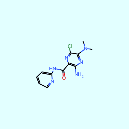 CN(C)c1nc(N)c(C(=O)Nc2ccccn2)nc1Cl